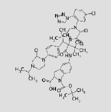 CC(C)N1CCN(c2ccc(C(C(C)(C)C)C(C(=O)Nc3ccc4c(c3)cc(C(=O)O)n4C(=O)OC(C)(C)C)(N3CCN(c4cc(Cl)ccc4-n4cnnn4)C(=O)C3=O)C(C)(C)C)cc2)C(=O)C1